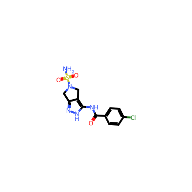 NS(=O)(=O)N1Cc2n[nH]c(NC(=O)c3ccc(Cl)cc3)c2C1